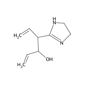 C=CC(O)C(C=C)C1=NCCN1